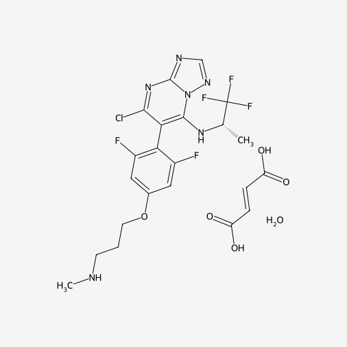 CNCCCOc1cc(F)c(-c2c(Cl)nc3ncnn3c2N[C@@H](C)C(F)(F)F)c(F)c1.O.O=C(O)C=CC(=O)O